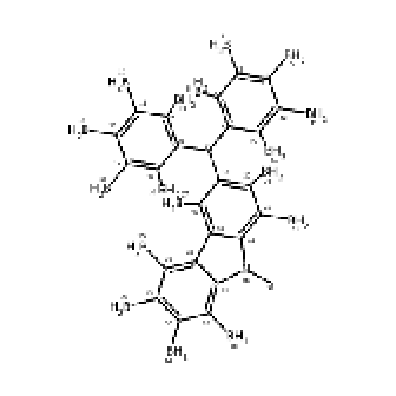 Bc1c(B)c(B)c(C(c2c(B)c(B)c(B)c(B)c2B)c2c(B)c(B)c3c(c2B)c2c(B)c(B)c(B)c(B)c2n3C)c(B)c1B